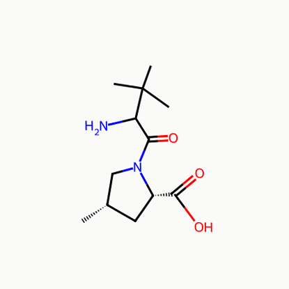 C[C@H]1C[C@@H](C(=O)O)N(C(=O)C(N)C(C)(C)C)C1